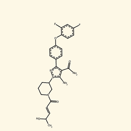 CC(O)C=CC(=O)N1CCCC(n2nc(-c3ccc(Oc4ccc(F)cc4F)cc3)c(C(N)=O)c2N)C1